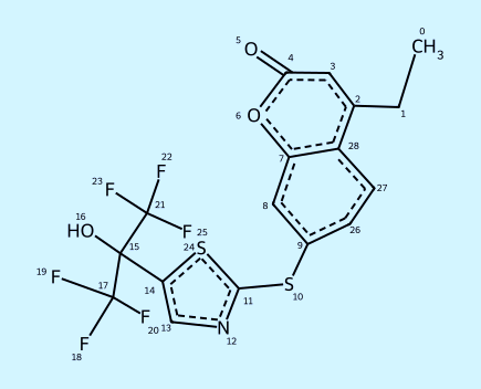 CCc1cc(=O)oc2cc(Sc3ncc(C(O)(C(F)(F)F)C(F)(F)F)s3)ccc12